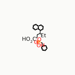 CCC(CC(OP(=O)(O)Cc1ccccc1)C(=O)O)c1cccc2ccccc12